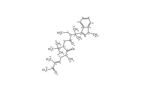 CCC(C(=O)CC(C(=O)C(C)C/C=C(\C)C(C)=O)C(C)(C)C)C(C)(C)C1=CC(C)c2ccccc21